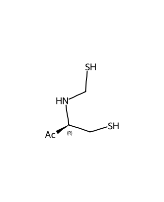 CC(=O)[C@H](CS)NCS